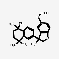 CC1(C)CCC(C)(C)c2cc(C3(C)COc4ccc(OC(=O)O)cc43)ccc21